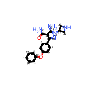 NC(=O)c1c(-c2ccc(Oc3ccccc3)cc2)nn(C2CNC2)c1N